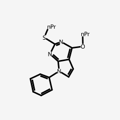 CCCOc1nc(SCCC)nc2c1ccn2-c1ccccc1